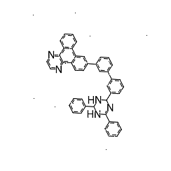 c1ccc(C2=NC(c3cccc(-c4cccc(-c5ccc6c(c5)c5ccccc5c5nccnc65)c4)c3)NC(c3ccccc3)N2)cc1